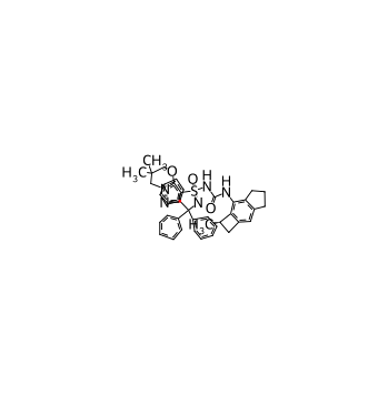 C[C@@H]1Cc2cc3c(c(NC(=O)NS(=O)(=NC(c4ccccc4)(c4ccccc4)c4ccccc4)c4cnn5c4OCC(C)(C)C5)c21)CCC3